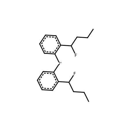 CCCC(F)c1ccccc1[I+]c1ccccc1C(F)CCC